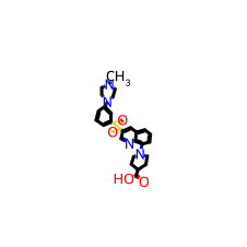 CN1CCN(c2cccc(S(=O)(=O)c3cnc4c(N5CCC(C(=O)O)CC5)cccc4c3)c2)CC1